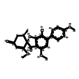 COC1=CC(=O)C[C@@H](C)[C@]12Oc1c(Cl)c(-c3cnc(OC)cn3)cc(OC)c1C2=O